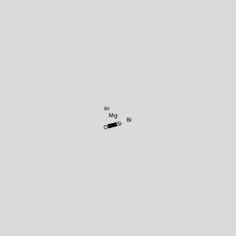 O=[Si].[Bi].[In].[Mg]